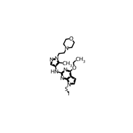 CCOc1nc(Nc2cnn(CCN3CCOCC3)c2C)nc2c1ccn2SI